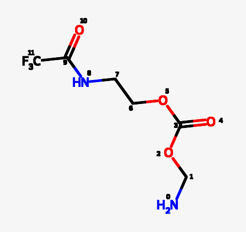 NCOC(=O)OCCNC(=O)C(F)(F)F